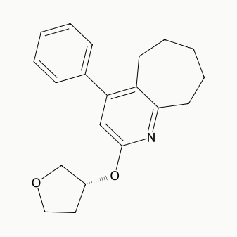 c1ccc(-c2cc(O[C@@H]3CCOC3)nc3c2CCCCC3)cc1